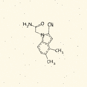 Cc1ccc2c(cc(C#N)n2CC(N)=O)c1C